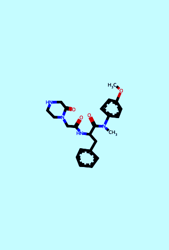 COc1ccc(N(C)C(=O)C(Cc2ccccc2)NC(=O)CN2CCNCC2=O)cc1